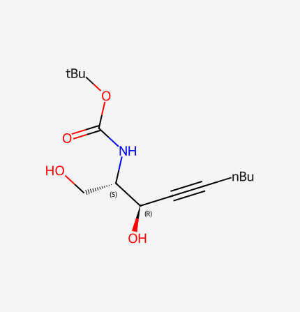 CCCCC#C[C@@H](O)[C@H](CO)NC(=O)OC(C)(C)C